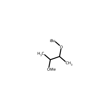 CCC(C)OC(C)C(C)OC